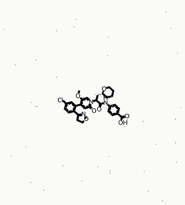 COc1cn(C(C[C@H]2CCCCO2)C(=O)Nc2ccc(C(=O)O)cc2)c(=O)cc1-c1cc(Cl)ccc1C1=NOCC1